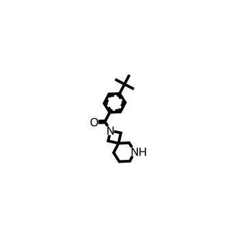 CC(C)(C)c1ccc(C(=O)N2CC3(CCCNC3)C2)cc1